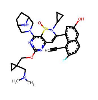 C#Cc1c(F)ccc2cc(O)cc(C3=Cc4nc(OCC5(CN(C)C)CC5)nc(N5CC6CCC(C5)N6)c4[S+]([O-])N3C3CC3)c12